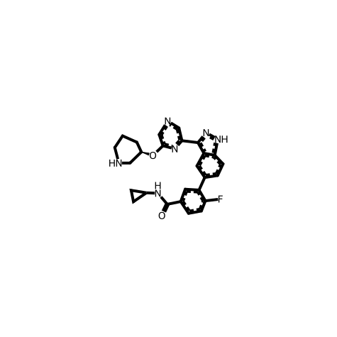 O=C(NC1CC1)c1ccc(F)c(-c2ccc3[nH]nc(-c4cncc(O[C@@H]5CCCNC5)n4)c3c2)c1